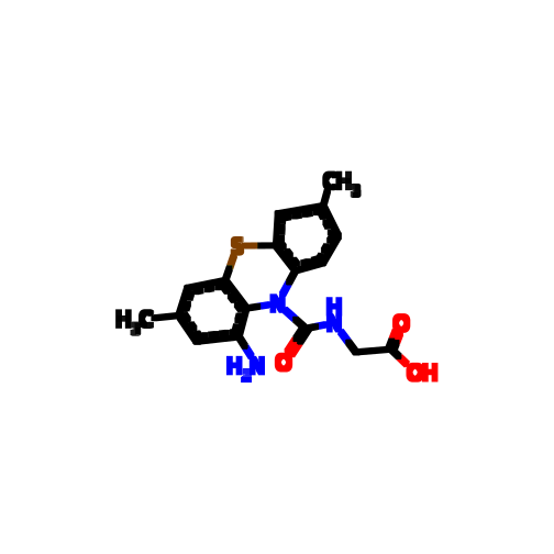 Cc1ccc2c(c1)Sc1cc(C)cc(N)c1N2C(=O)NCC(=O)O